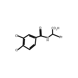 CC(C)C(NC(=O)c1ccc(Cl)c(Cl)c1)C(=O)O